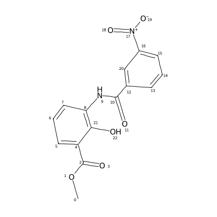 COC(=O)c1cccc(NC(=O)c2cccc([N+](=O)[O-])c2)c1O